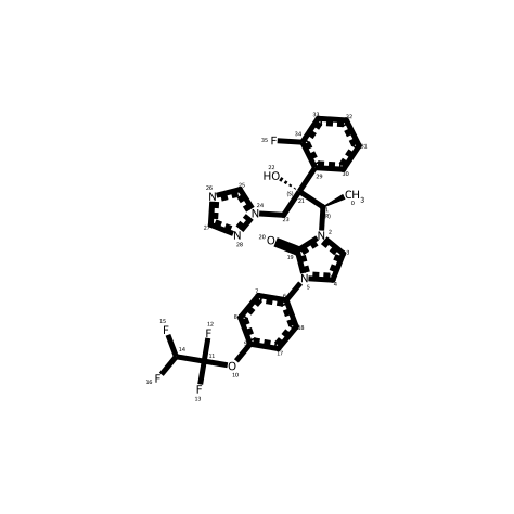 C[C@@H](n1ccn(-c2ccc(OC(F)(F)C(F)F)cc2)c1=O)[C@@](O)(Cn1cncn1)c1ccccc1F